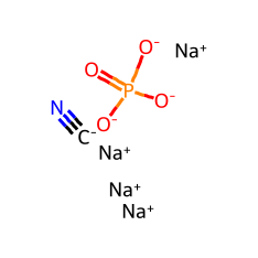 O=P([O-])([O-])[O-].[C-]#N.[Na+].[Na+].[Na+].[Na+]